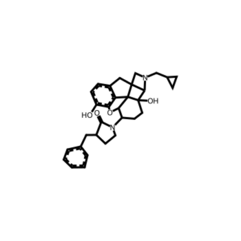 O=C1C(Cc2ccccc2)CCN1C1CCC2(O)C3N(CC4CC4)CC34Cc3ccc(O)c5c3C24C1O5